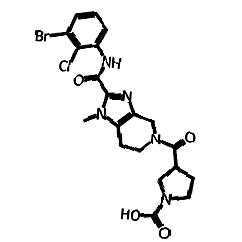 Cn1c(C(=O)Nc2cccc(Br)c2Cl)nc2c1CCN(C(=O)C1CCN(C(=O)O)C1)C2